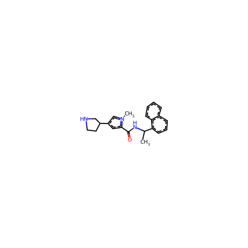 CC(NC(=O)c1cc(C2CCNC2)cn1C)c1cccc2ccccc12